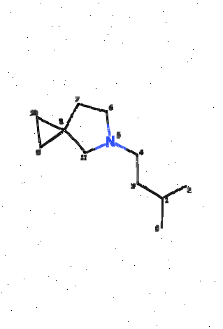 CC(C)CCN1CCC2(CC2)C1